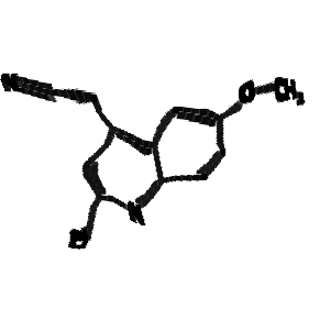 COc1ccc2nc(Cl)cc(CC#N)c2c1